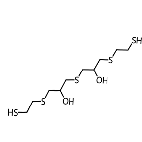 OC(CSCCS)CSCC(O)CSCCS